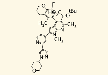 Cc1nc2c(cc(-c3ccnc(-c4cnn(C5CCOCC5)c4)c3)n2C)c(-c2cc(F)c3c(c2C)CCCO3)c1C(OC(C)(C)C)C(=O)O